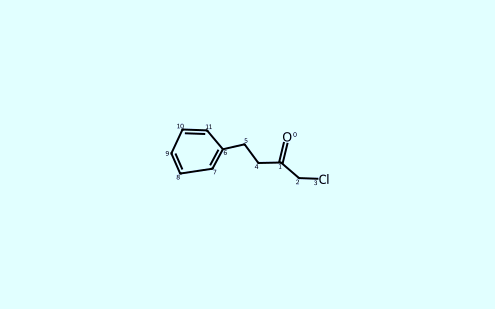 O=C(CCl)CCc1ccccc1